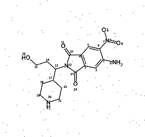 Nc1cc2c(cc1[N+](=O)[O-])C(=O)N(C(CCO)C1CCNCC1)C2=O